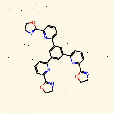 c1cc(C2=NCCO2)nc(-c2cc(-c3cccc(C4=NCCO4)n3)cc(-c3cccc(C4=NCCO4)n3)c2)c1